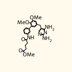 COC(=O)CCCC(=O)Nc1cccc(-c2cc(Cc3cnc(N)nc3N)cc(OC)c2OC)c1